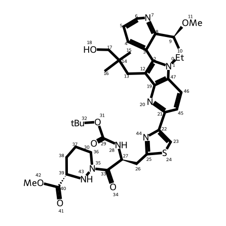 CCn1c(-c2cccnc2[C@H](C)OC)c(CC(C)(C)CO)c2nc(-c3csc(C[C@H](NC(=O)OC(C)(C)C)C(=O)N4CCC[C@@H](C(=O)OC)N4)n3)ccc21